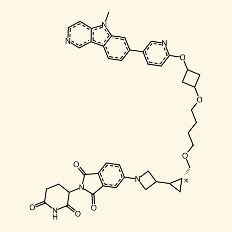 Cn1c2ccncc2c2ccc(-c3ccc(OC4CC(OCCCCOC[C@@H]5CC5C5CN(c6ccc7c(c6)C(=O)N(C6CCC(=O)NC6=O)C7=O)C5)C4)nc3)cc21